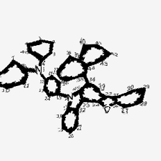 C1=CCCC(N(c2ccccc2)c2ccc(-n3c4ccccc4c4c5oc6ccccc6c5cc(-c5cccc6ccccc56)c43)cc2)=C1